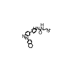 CN(C)CCNC(=O)Nc1ccc(-c2ccc3ncn(-c4ccc5c(c4)CCCC5)c3c2)cc1